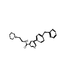 O=C(NCCN1CCCCC1)c1cncc(-c2ccc(Cc3ccccc3)cc2)c1